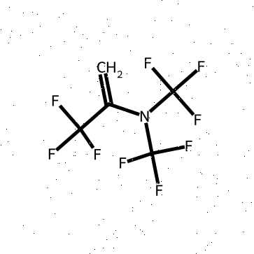 C=C(N(C(F)(F)F)C(F)(F)F)C(F)(F)F